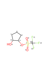 O=S(=O)(OC1CCCC1O)C(F)(F)F